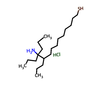 CCCC(CCCCCCCCCS)C(N)(CCC)CCC.Cl